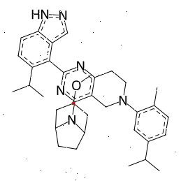 COC1CC2CCC(C1)N2c1nc(-c2c(C(C)C)ccc3[nH]ncc23)nc2c1CN(c1cc(C(C)C)ccc1C)CC2